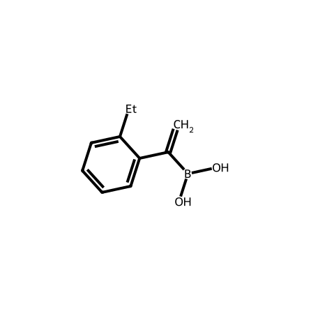 C=C(B(O)O)c1ccccc1CC